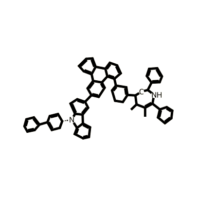 CC1=C(c2ccccc2)NC(c2ccccc2)CC(C2=CC(c3cccc4c5ccccc5c5cc(-c6ccc7c(c6)c6ccccc6n7[C@H]6C=CC(c7ccccc7)=CC6)ccc5c34)=CCC2)C1C